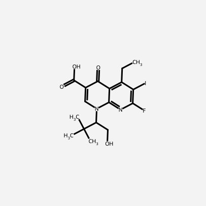 CCc1c(I)c(F)nc2c1c(=O)c(C(=O)O)cn2C(CO)C(C)(C)C